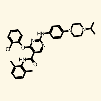 Cc1cccc(C)c1NC(=O)c1cnc(Nc2ccc(N3CCN(C(C)C)CC3)cc2)nc1Oc1ccccc1Cl